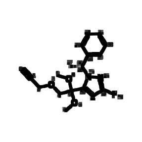 C#CCOCC(OC)(OC)c1cc(F)nn1[C@H](C)c1ccccc1